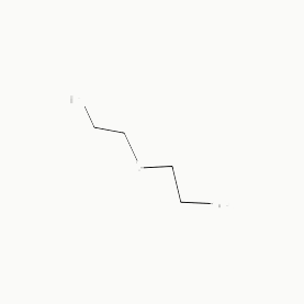 CCCCCC[SiH2]CCC(C)C